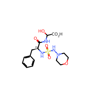 O=C(O)C(O)NC(=O)[C@H](Cc1ccccc1)NS(=O)(=O)NN1CCOCC1